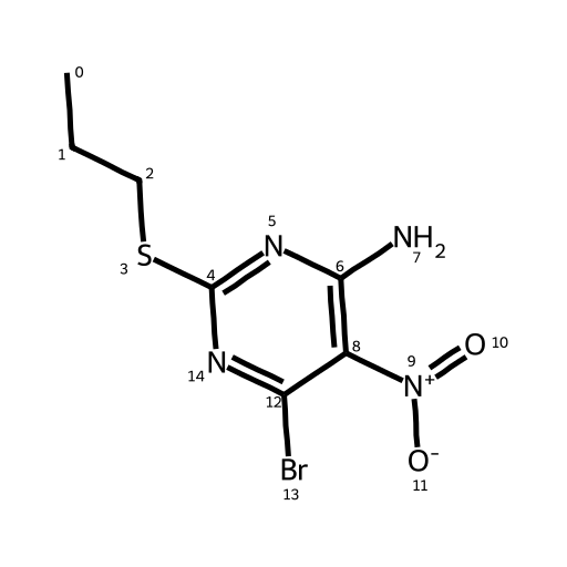 CCCSc1nc(N)c([N+](=O)[O-])c(Br)n1